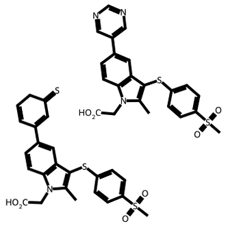 Cc1c(Sc2ccc(S(C)(=O)=O)cc2)c2cc(-c3cncnc3)ccc2n1CC(=O)O.Cc1c(Sc2ccc(S(C)(=O)=O)cc2)c2cc(C3=CC(=S)CC=C3)ccc2n1CC(=O)O